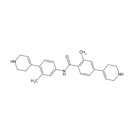 Cc1cc(C2=CCNCC2)ccc1C(=O)Nc1ccc(C2=CCNCC2)c(C)c1